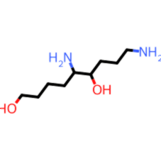 NCCCC(O)C(N)CCCCO